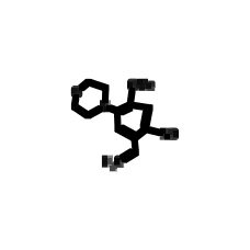 C=Cc1cc(N2CCOCC2)c(OC)cc1N=O